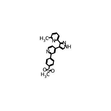 Cc1cccc(-c2n[nH]cc2-c2ccnc(-c3ccc(S(C)(=O)=O)cc3)c2)n1